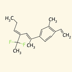 C=Cc1ccc(/C(C)=C/C(=C\CC)C(C)(F)F)cc1C